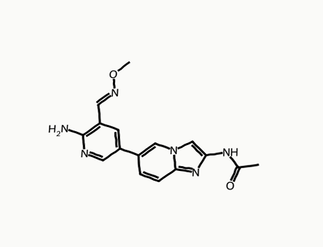 CON=Cc1cc(-c2ccc3nc(NC(C)=O)cn3c2)cnc1N